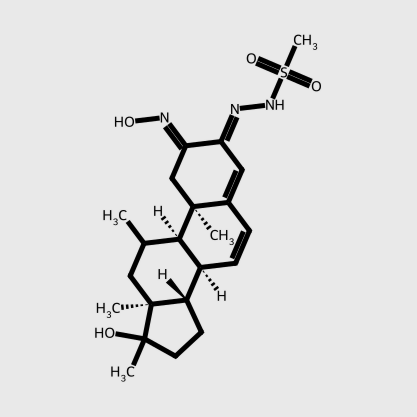 CC1C[C@@]2(C)[C@@H](CCC2(C)O)[C@@H]2C=CC3=CC(=NNS(C)(=O)=O)C(=NO)C[C@]3(C)[C@H]12